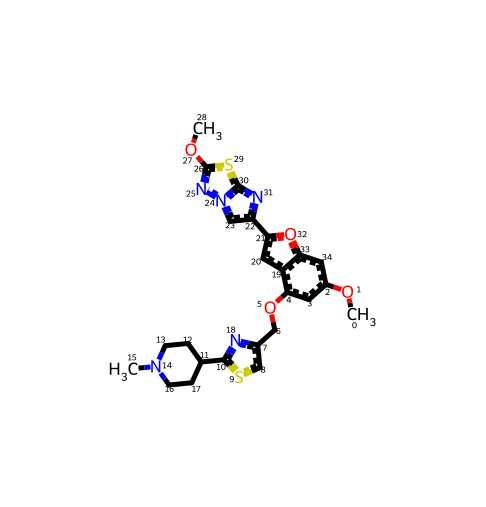 COc1cc(OCc2csc(C3CCN(C)CC3)n2)c2cc(-c3cn4nc(OC)sc4n3)oc2c1